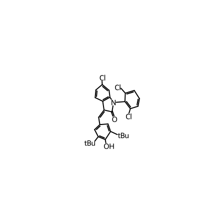 CC(C)(C)c1cc(C=C2C(=O)N(c3c(Cl)cccc3Cl)c3cc(Cl)ccc32)cc(C(C)(C)C)c1O